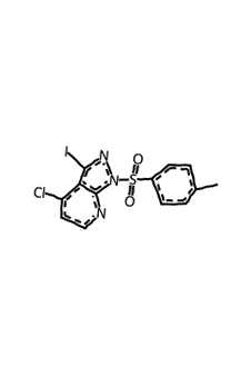 Cc1ccc(S(=O)(=O)n2nc(I)c3c(Cl)ccnc32)cc1